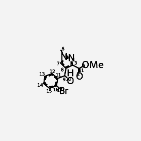 COC(=O)c1nn(C)cc1C(O)c1ccccc1Br